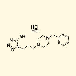 Cl.Cl.Sc1nnnn1CCCN1CCN(Cc2ccccc2)CC1